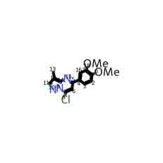 COc1ccc(-c2cc(Cl)n3ncc(C)c3n2)cc1OC